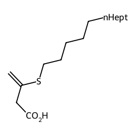 C=C(CC(=O)O)SCCCCCCCCCCCC